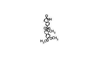 COc1cc2c(cc1OC)C(C)N(S(=O)(=O)c1ccc3[nH]c(=O)ccc3c1)CC2